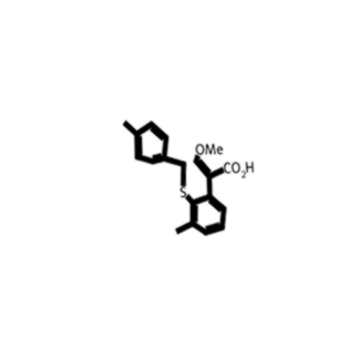 COC=C(C(=O)O)c1cccc(C)c1SCc1ccc(C)cc1